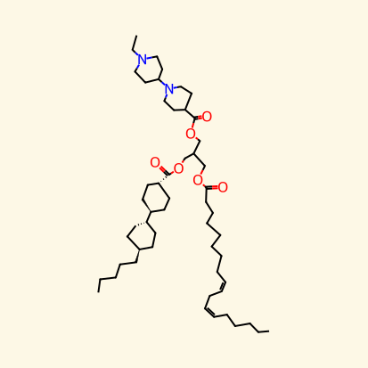 CCCCC/C=C\C/C=C\CCCCCCCC(=O)OCC(COC(=O)C1CCN(C2CCN(CC)CC2)CC1)COC(=O)[C@H]1CC[C@H]([C@H]2CC[C@H](CCCCC)CC2)CC1